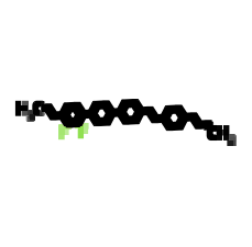 C=CCCC1CCC(CCC2CCC(C3CCC(c4ccc(CCC)c(F)c4F)CC3)CC2)CC1